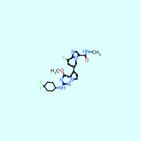 CNC(=O)c1cnc2c(F)cc(-c3ccn4nc(NC5CCC(F)(F)CC5)nc(OC)c34)cn12